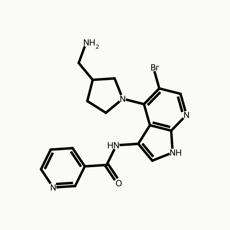 NCC1CCN(c2c(Br)cnc3[nH]cc(NC(=O)c4cccnc4)c23)C1